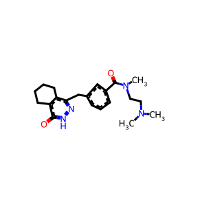 CN(C)CCN(C)C(=O)c1cccc(Cc2n[nH]c(=O)c3c2CCCC3)c1